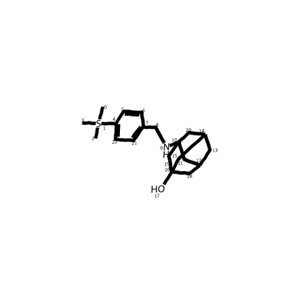 CS(C)(C)c1ccc(CNC23CC4CC(CC(O)(C4)C2)C3)cc1